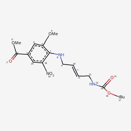 COC(=O)c1cc(OC)c(NC/C=C/CNC(=O)OC(C)(C)C)c([N+](=O)[O-])c1